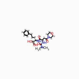 CN(C)C(=O)NC(CC(=O)N1CCOCC1)C(=O)N[C@@H](CCCc1ccccc1)B(O)O